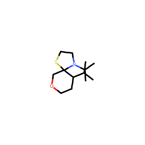 CC(C)C1CCOCC12SCCN2C(C)C